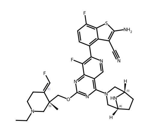 CCN1CC/C(=C\F)[C@](C)(COc2nc(N3C[C@H]4CC[C@@H](C3)N4)c3cnc(-c4ccc(F)c5sc(N)c(C#N)c45)c(F)c3n2)C1